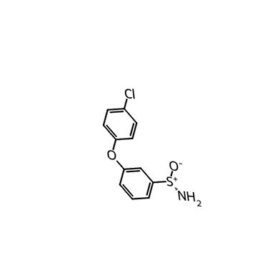 N[S@@+]([O-])c1cccc(Oc2ccc(Cl)cc2)c1